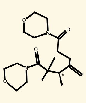 C=C(CCC(=O)N1CCOCC1)[C@@H](C)C(C)(C)C(=O)N1CCOCC1